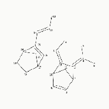 CC=C1C(=C(C)C)C2C=CC1C2.CC=CC1=CC2CCC1C2